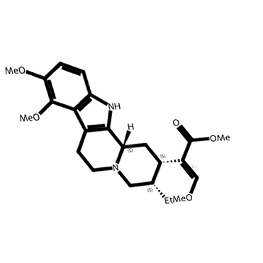 CC[C@@H]1CN2CCc3c([nH]c4ccc(OC)c(OC)c34)[C@@H]2C[C@@H]1/C(=C\OC)C(=O)OC